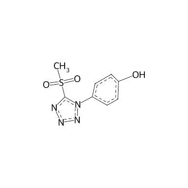 CS(=O)(=O)c1nnnn1-c1ccc(O)cc1